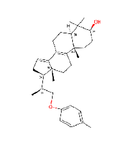 Cc1ccc(OC[C@@H](C)[C@H]2CC=C3C4=C(CC[C@@]32C)[C@@]2(C)CC[C@H](O)C(C)(C)[C@@H]2CC4)cc1